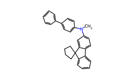 CN(c1ccc(-c2ccccc2)cc1)c1ccc2c(c1)C1(CCCC1)c1ccccc1-2